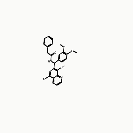 COc1ccc(C(NC(=O)Cc2ccccc2)c2cc(Cl)c3cccnc3c2O)cc1OC